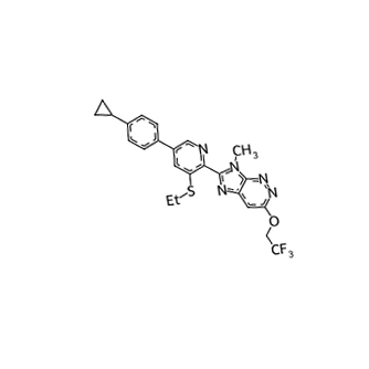 CCSc1cc(-c2ccc(C3CC3)cc2)cnc1-c1nc2cc(OCC(F)(F)F)nnc2n1C